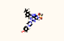 COc1ccc(N2CCN(c3nc4c(c(Nc5cc(C(C)(C)C)ccc5C)n3)CN(S(C)(=O)=O)C4)CC2)cc1